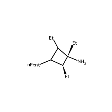 CCCCCC1C(CC)[C@@](N)(CC)[C@H]1CC